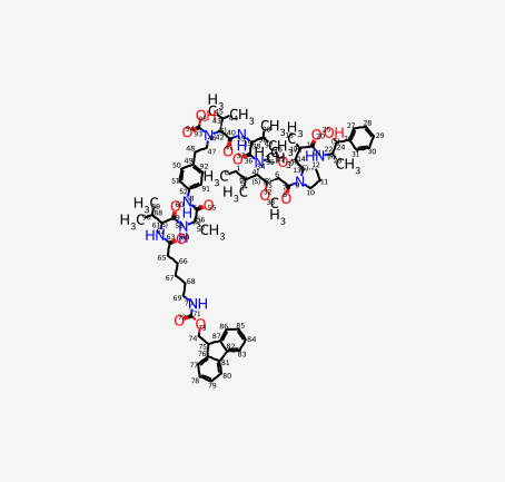 CC[C@H](C)[C@@H]([C@@H](CC(=O)N1CCC[C@H]1[C@H](OC)[C@@H](C)C(=O)N[C@H](C)[C@@H](O)c1ccccc1)OC)N(C)C(=O)[C@@H](NC(=O)[C@H](C(C)C)N(CCc1ccc(NC(=O)[C@H](C)NC(=O)[C@@H](NC(=O)CCCCCNC(=O)OCC2c3ccccc3-c3ccccc32)C(C)C)cc1)C(=O)O)C(C)C